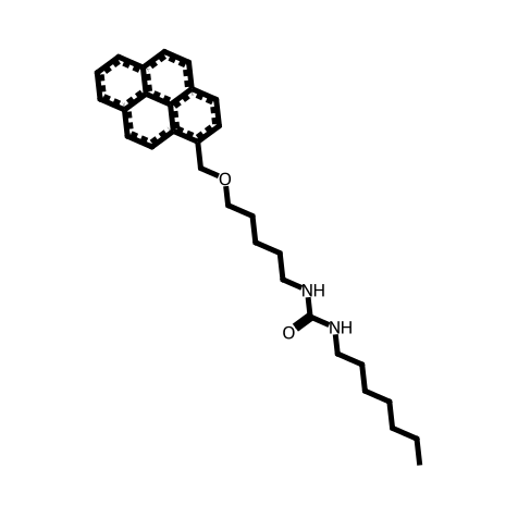 CCCCCCCNC(=O)NCCCCCOCc1ccc2ccc3cccc4ccc1c2c34